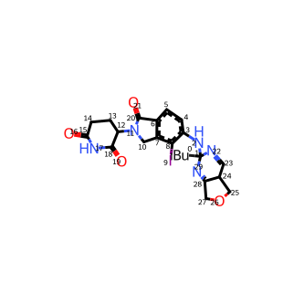 CCC(C)C1(Nc2ccc3c(c2I)CN(C2CCC(=O)NC2=O)C3=O)N=CC2COCC2=N1